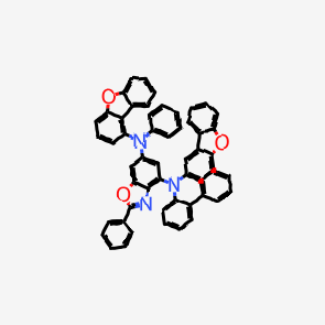 c1ccc(-c2nc3c(N(c4ccc5oc6ccccc6c5c4)c4ccccc4-c4ccccc4)cc(N(c4ccccc4)c4cccc5oc6ccccc6c45)cc3o2)cc1